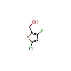 OCc1sc(Cl)cc1F